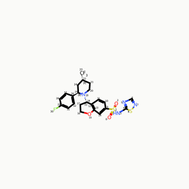 O=S(=O)(Nc1ncns1)c1ccc2c(c1)OCC[C@@H]2N1CC[C@@H](C(F)(F)F)C[C@@H]1c1ccc(F)cc1